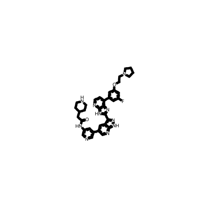 O=C(CC1CCNCC1)Nc1cncc(-c2cnc3[nH]nc(-c4nc5c(-c6cc(F)cc(OCCN7CCCC7)c6)ccnc5[nH]4)c3c2)c1